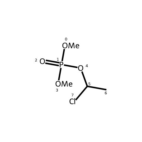 COP(=O)(OC)OC(C)Cl